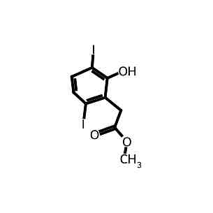 COC(=O)Cc1c(I)ccc(I)c1O